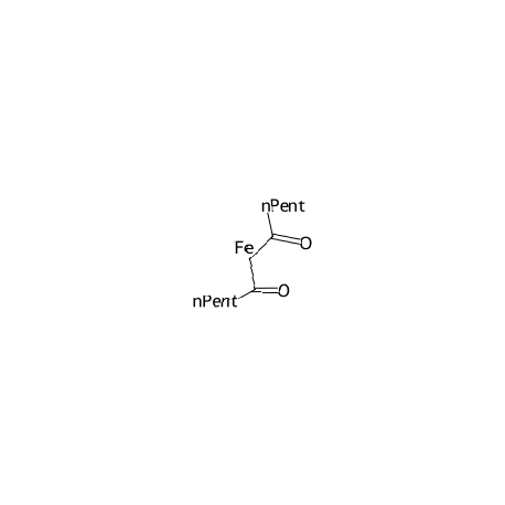 CCCCCC(=O)CC(=O)CCCCC.[Fe]